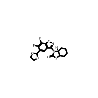 O=C1SC2CCCC[C@H]2N1c1noc2c(F)c(F)c(C3OCCO3)cc12